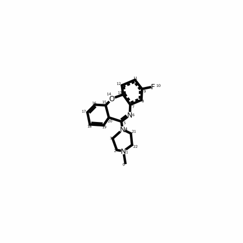 CN1CCN(C2=Nc3cc(F)ccc3OC3C=CC=CC23)CC1